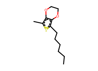 CCCCCCc1sc(C)c2c1OCCO2